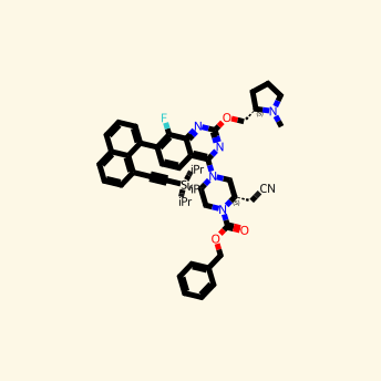 CC(C)[Si](C#Cc1cccc2cccc(-c3ccc4c(N5CCN(C(=O)OCc6ccccc6)[C@@H](CC#N)C5)nc(OC[C@@H]5CCCN5C)nc4c3F)c12)(C(C)C)C(C)C